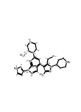 Cc1nn(C2CCNCC2)c(CF)c1-c1cc(N2CCOC[C@H]2C)nc2c1cnn2-c1cc[nH]n1